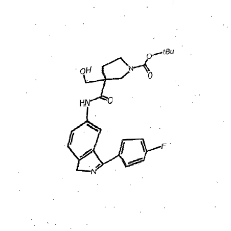 CC(C)(C)OC(=O)N1CCC(CO)(C(=O)Nc2ccc3c(c2)C(c2ccc(F)cc2)=NC3)C1